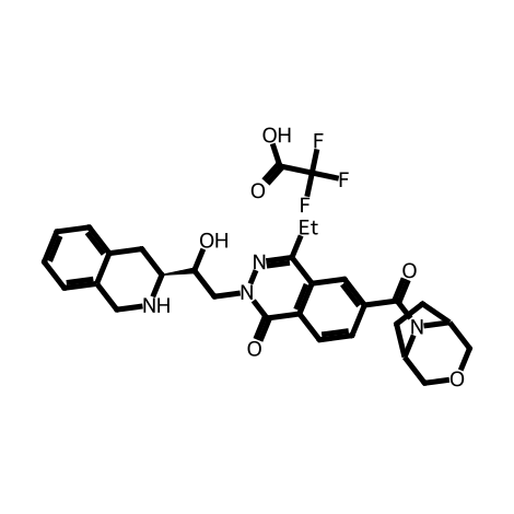 CCc1nn(CC(O)[C@@H]2Cc3ccccc3CN2)c(=O)c2ccc(C(=O)N3C4CCC3COC4)cc12.O=C(O)C(F)(F)F